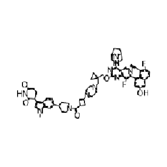 C#Cc1c(F)ccc2cc(O)cc(-c3ncc4c(N5CC6CCC(C5)N6)nc(OCC5(CN6CCN(C7CC(C(=O)N8CCC(c9ccc%10c(C%11CCC(=O)NC%11=O)cn(C)c%10c9)CC8)C7)CC6)CC5)nc4c3F)c12